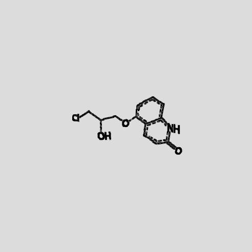 O=c1ccc2c(OCC(O)CCl)cccc2[nH]1